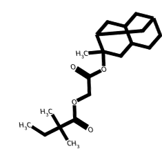 CCC(C)(C)C(=O)OCC(=O)OC1(C)CC2CCC3CC2CC1C3